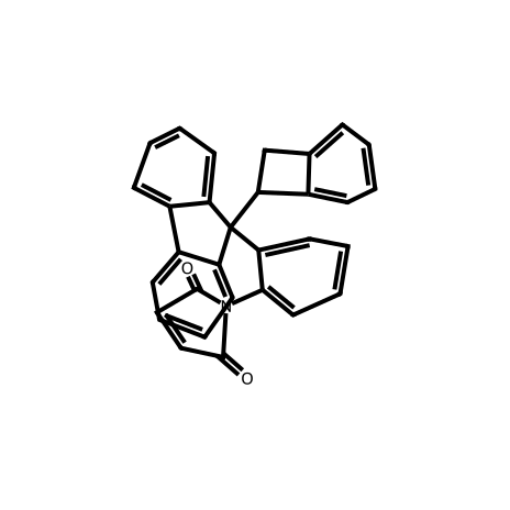 O=C1C=CC(=O)N1c1ccccc1C1(C2Cc3ccccc32)c2ccccc2-c2ccccc21